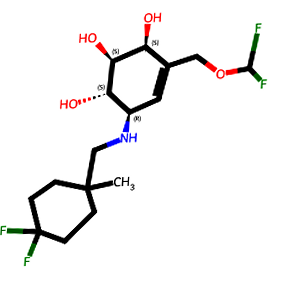 CC1(CN[C@@H]2C=C(COC(F)F)[C@H](O)[C@H](O)[C@H]2O)CCC(F)(F)CC1